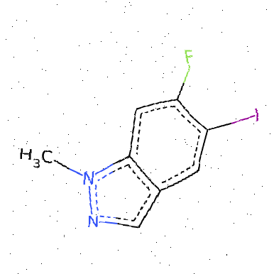 Cn1ncc2cc(I)c(F)cc21